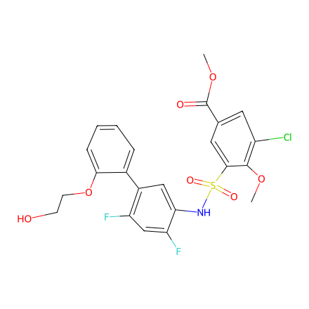 COC(=O)c1cc(Cl)c(OC)c(S(=O)(=O)Nc2cc(-c3ccccc3OCCO)c(F)cc2F)c1